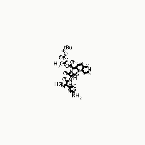 CC(OC(=O)OCC(C)(C)C)OC(=O)C1=C(/C=C\c2cccnc2)CS[C@@H]2[C@H](NC(=O)/C(=N\O)c3csc(N)n3)C(=O)N12